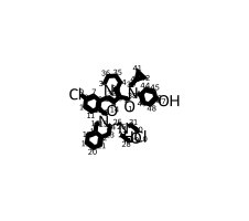 Cl.O=C(c1cc(-c2cc(Cl)ccc2C(=O)N2Cc3ccccc3C[C@H]2CN2CCOCC2)n2c1CCCC2)N(CC1CC1)c1ccc(O)cc1